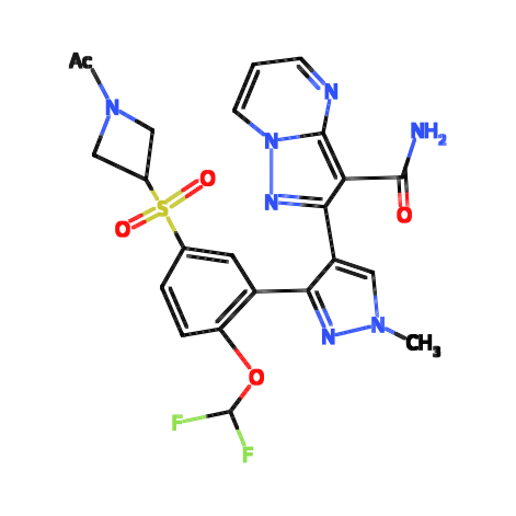 CC(=O)N1CC(S(=O)(=O)c2ccc(OC(F)F)c(-c3nn(C)cc3-c3nn4cccnc4c3C(N)=O)c2)C1